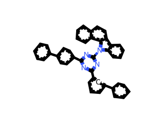 c1ccc(-c2ccc(-c3nc(-c4cccc(-c5ccccc5)c4)nc(-n4c5ccccc5c5ccc6ccccc6c54)n3)cc2)cc1